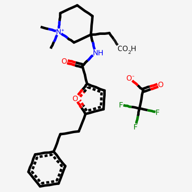 C[N+]1(C)CCCC(CC(=O)O)(NC(=O)c2ccc(CCc3ccccc3)o2)C1.O=C([O-])C(F)(F)F